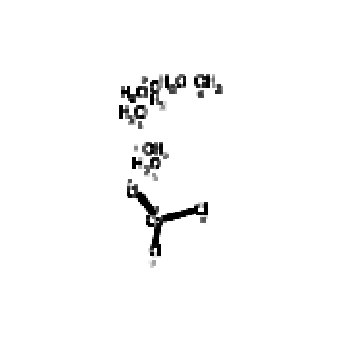 O.O.O.O.O.O.O.[Cl][Co]([Cl])[Cl]